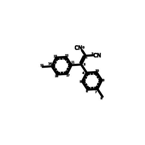 [C-]#[N+]C(C#N)=C(c1ccc(C)cc1)c1ccc(C)cc1